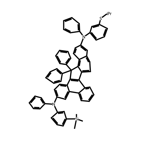 CC(C)Sc1cccc(N(c2ccccc2)c2ccc3c4c(ccc3c2)-c2c(c3ccc(N(c5ccccc5)c5cccc([Si](C)(C)C)c5)cc3c3ccccc23)C4(c2ccccc2)c2ccccc2)c1